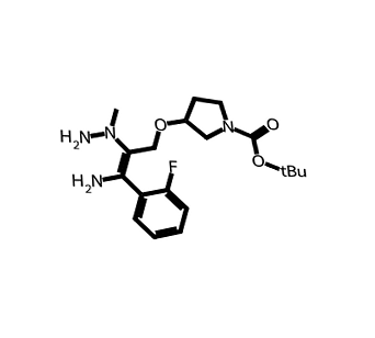 CN(N)/C(COC1CCN(C(=O)OC(C)(C)C)C1)=C(\N)c1ccccc1F